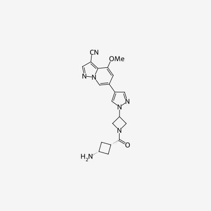 COc1cc(-c2cnn(C3CN(C(=O)[C@H]4C[C@@H](N)C4)C3)c2)cn2ncc(C#N)c12